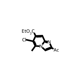 CCOC(=O)c1cc2nc(C(C)=O)cn2c(C)c1Cl